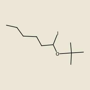 CCCCCC(I)OC(C)(C)C